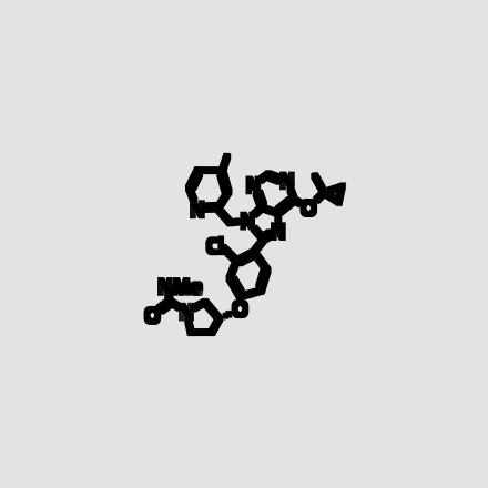 CNC(=O)N1CC[C@@H](Oc2ccc(-c3nc4c(OC5(C)CC5)ncnc4n3Cc3cc(C)ccn3)c(Cl)c2)C1